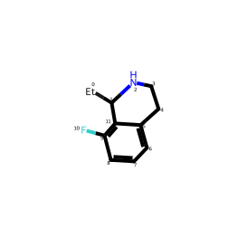 CCC1NCCc2cccc(F)c21